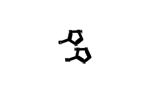 Clc1nc[nH]n1.Sc1ncn[nH]1